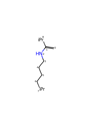 C=C(NCCCCC(C)C)C(C)C